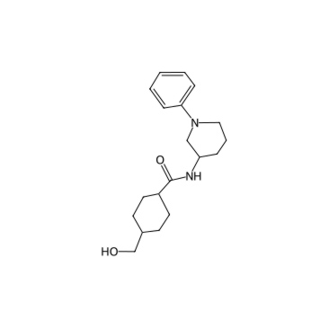 O=C(NC1CCCN(c2ccccc2)C1)C1CCC(CO)CC1